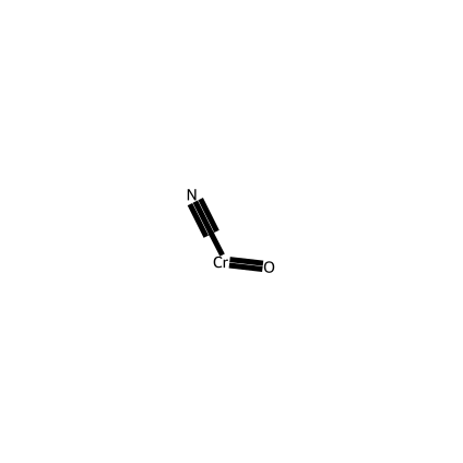 N#[C][Cr]=[O]